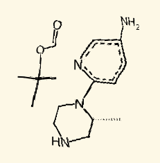 CC(C)(C)OC=O.C[C@@H]1CNCCN1c1ccc(N)cn1